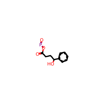 O=POC(=O)CCC(O)c1ccccc1